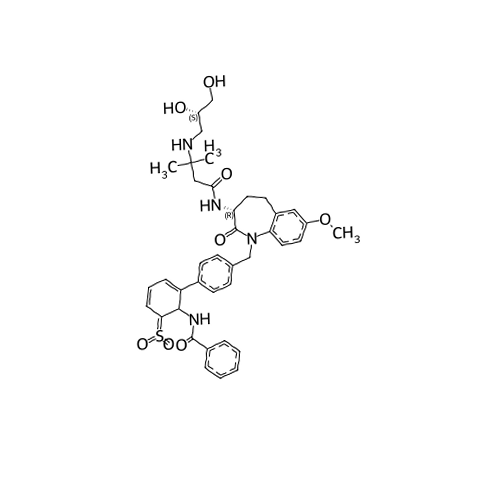 COc1ccc2c(c1)CC[C@@H](NC(=O)CC(C)(C)NC[C@H](O)CO)C(=O)N2Cc1ccc(C2=CC=CC(=S(=O)=O)C2NC(=O)c2ccccc2)cc1